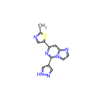 Cc1ncc(-c2cc3nccn3c(-c3cn[nH]c3)n2)s1